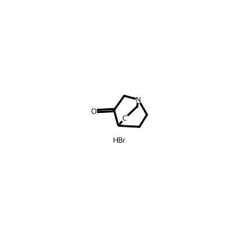 Br.O=C1CN2CCC1CC2